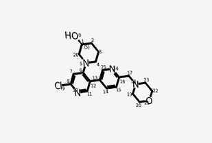 O[C@H]1CCCN(c2cc(Cl)ncc2-c2ccc(CN3CCOCC3)nc2)C1